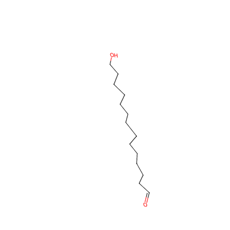 O=CCCCCCCCCCCCCCO